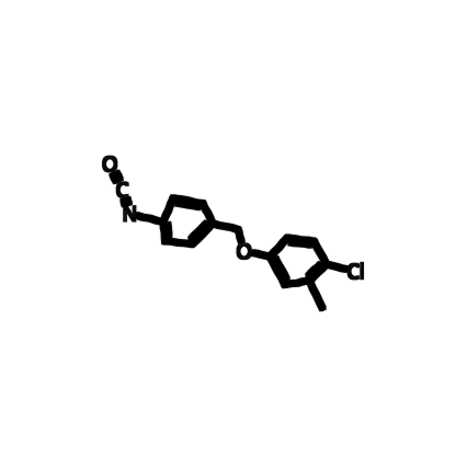 Cc1cc(OCc2ccc(N=C=O)cc2)ccc1Cl